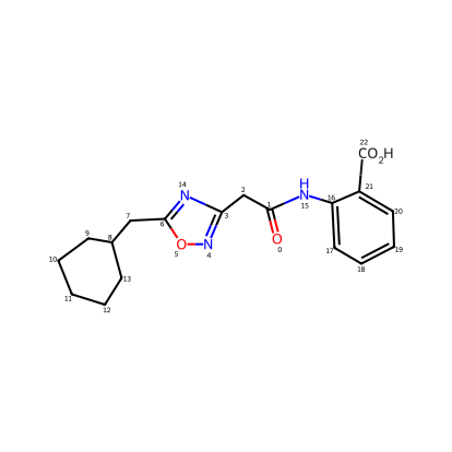 O=C(Cc1noc(CC2CCCCC2)n1)Nc1ccccc1C(=O)O